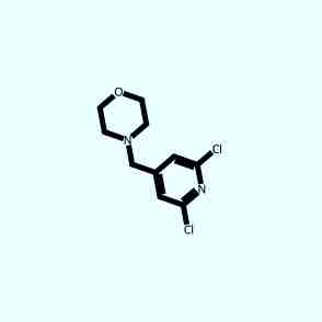 Clc1cc(CN2CCOCC2)cc(Cl)n1